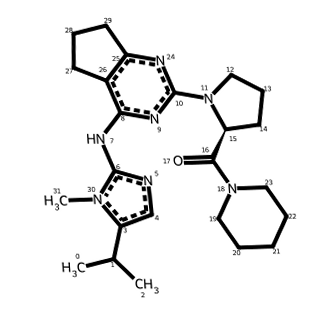 CC(C)c1cnc(Nc2nc(N3CCC[C@H]3C(=O)N3CCCCC3)nc3c2CCC3)n1C